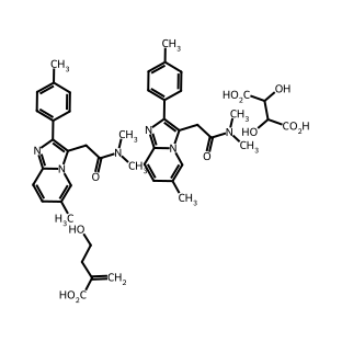 C=C(CCO)C(=O)O.Cc1ccc(-c2nc3ccc(C)cn3c2CC(=O)N(C)C)cc1.Cc1ccc(-c2nc3ccc(C)cn3c2CC(=O)N(C)C)cc1.O=C(O)C(O)C(O)C(=O)O